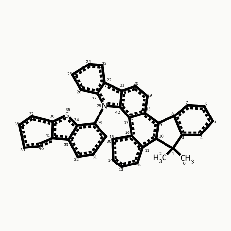 CC1(C)c2ccccc2-c2c1c1ccccc1c1c2ccc2c3ccccc3n(-c3cccc4c3sc3ccccc34)c21